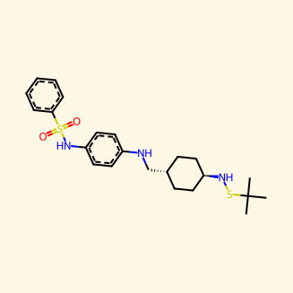 CC(C)(C)SN[C@H]1CC[C@H](CNc2ccc(NS(=O)(=O)c3ccccc3)cc2)CC1